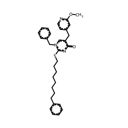 COc1cc(Cc2cn(Cc3ccccc3)c(SCCCCCCCCc3ccccc3)nc2=O)ccn1